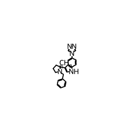 C[C@@]1(c2c[nH]c3ccc(-n4cnnc4)cc23)CCCN1Cc1ccccc1